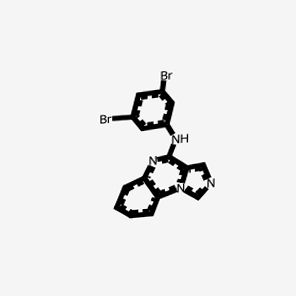 Brc1cc(Br)cc(Nc2nc3ccccc3n3cncc23)c1